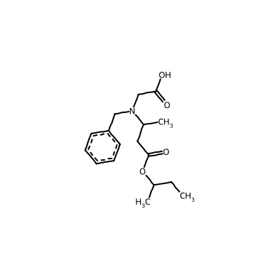 CCC(C)OC(=O)CC(C)N(CC(=O)O)Cc1ccccc1